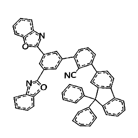 N#Cc1c(-c2cc(-c3nc4ccccc4o3)cc(-c3nc4ccccc4o3)c2)cccc1-c1ccc2c(c1)C(c1ccccc1)(c1ccccc1)c1ccccc1-2